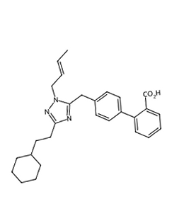 C/C=C/Cn1nc(CCC2CCCCC2)nc1Cc1ccc(-c2ccccc2C(=O)O)cc1